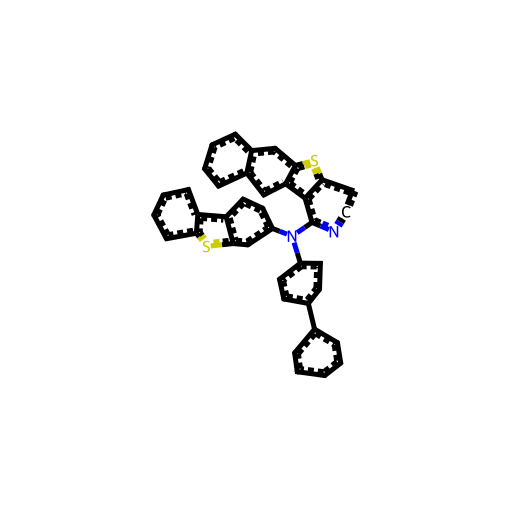 c1ccc(-c2ccc(N(c3ccc4c(c3)sc3ccccc34)c3nccc4sc5cc6ccccc6cc5c34)cc2)cc1